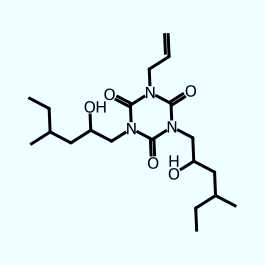 C=CCn1c(=O)n(CC(O)CC(C)CC)c(=O)n(CC(O)CC(C)CC)c1=O